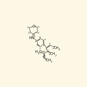 C=C(/C(=C\C)c1ccc(NC2CCOCC2)cc1)/C(C)=N\C